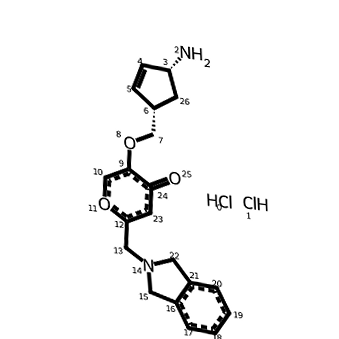 Cl.Cl.N[C@H]1C=C[C@@H](COc2coc(CN3Cc4ccccc4C3)cc2=O)C1